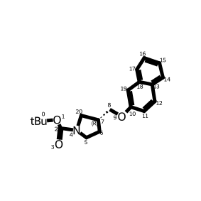 CC(C)(C)OC(=O)N1CC[C@@H](COc2ccc3ccccc3c2)C1